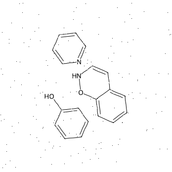 C1=Cc2ccccc2ON1.Oc1ccccc1.c1ccncc1